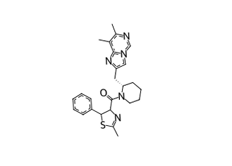 CC1=NC(C(=O)N2CCCC[C@H]2Cc2cn3cnc(C)c(C)c3n2)C(c2ccccc2)S1